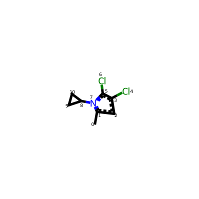 Cc1cc(Cl)c(Cl)n1C1CC1